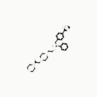 O=C(CN1CCN(CCS(=O)(=O)N(Cc2ccc(-c3nnco3)cc2)c2ccccc2)CC1)N1CCOCC1